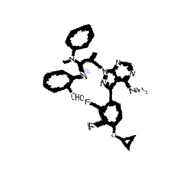 CC(/C(=N/c1ccccc1C=O)N(C)c1ccccc1)n1nc(-c2ccc(OC3CC3)c(F)c2F)c2c(N)ncnc21